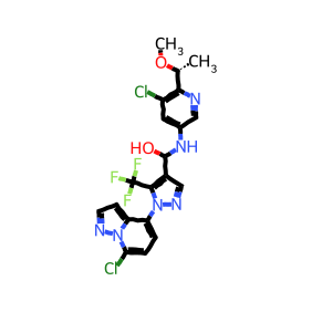 CO[C@H](C)c1ncc(NC(O)c2cnn(-c3ccc(Cl)n4nccc34)c2C(F)(F)F)cc1Cl